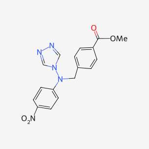 COC(=O)c1ccc(CN(c2ccc([N+](=O)[O-])cc2)n2cnnc2)cc1